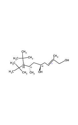 C/C(=C\C[C@@H](O)C[C@H](C)[SiH](C(C)(C)C)C(C)(C)C)CO